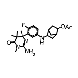 CC(=O)OC1CC2CC1CC2Nc1ccc(F)c([C@]2(C)N=C(N)N(C)C(=O)C2(C)C)c1